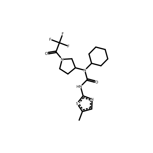 Cc1cnc(NC(=O)N(C2CCCCC2)C2CCN(C(=O)C(F)(F)F)C2)s1